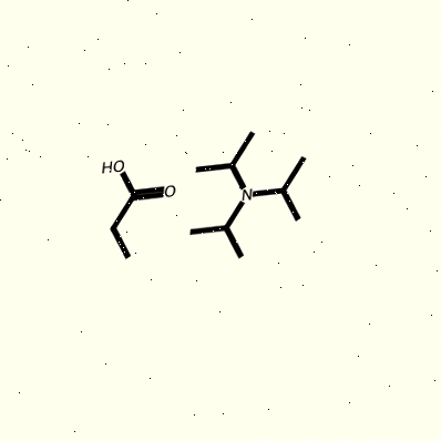 CC(C)N(C(C)C)C(C)C.CCC(=O)O